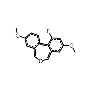 COc1ccc2c(c1)=COC=c1cc(OC)cc(F)c1=2